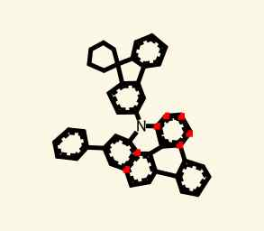 c1ccc(-c2cccc(N(c3ccc4c(c3)-c3ccccc3C43CCCCC3)c3ccccc3-c3ccccc3-c3ccccc3-c3ccccc3)c2)cc1